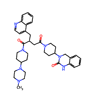 CN1CCN(C2CCN(C(=O)C(CC(=O)N3CCC(N4Cc5ccccc5NC4=O)CC3)Cc3ccnc4ccccc34)CC2)CC1